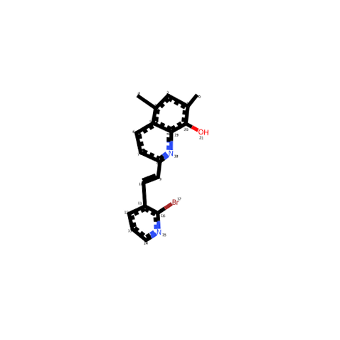 Cc1cc(C)c2ccc(C=Cc3cccnc3Br)nc2c1O